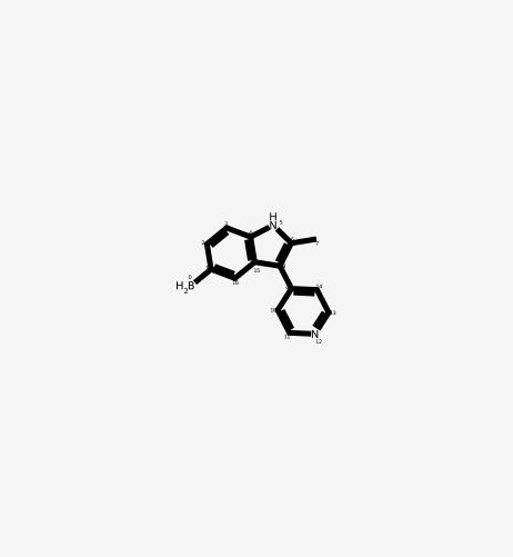 Bc1ccc2[nH]c(C)c(-c3ccncc3)c2c1